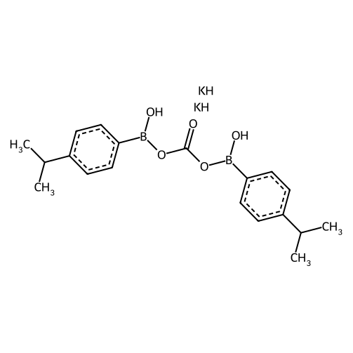 CC(C)c1ccc(B(O)OC(=O)OB(O)c2ccc(C(C)C)cc2)cc1.[KH].[KH]